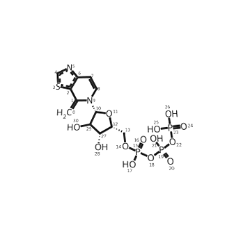 C=C1c2scnc2C=CN1[C@@H]1O[C@H](COP(=O)(O)OP(=O)(O)OP(=O)(O)O)[C@H](O)C1O